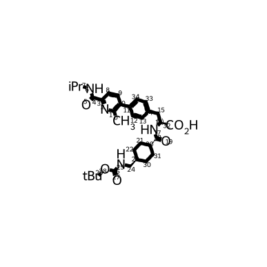 Cc1nc(C(=O)NC(C)C)ccc1-c1ccc(C[C@H](NC(=O)[C@H]2CC[C@H](CNC(=O)OC(C)(C)C)CC2)C(=O)O)cc1